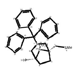 CSC[C@@]12CC[C@@H](CN(C(c3ccccc3)(c3ccccc3)c3ccccc3)C1)N2C(=O)O